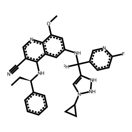 [2H]C(Nc1cc(OC)c2ncc(C#N)c(N[C@H](CC)c3ccccc3)c2c1)(C1=CN(C2CC2)NN1)c1ccc(F)nc1